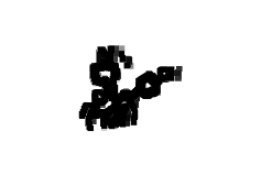 NC1CCN(C(=O)c2cc(-c3ccc(O)cc3)nc3[nH]nc(C(F)(F)F)c23)CC1